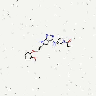 C=CC(=O)N1CC[C@@H](Nc2ncnc3[nH]c(C#CCOc4ccccc4OC)cc23)C1